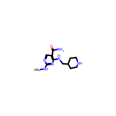 CCCCNc1ncc(C(N)=O)c(NCC2CCNCC2)n1